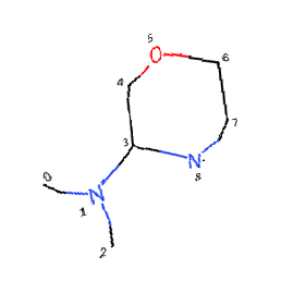 CN(C)C1COCC[N]1